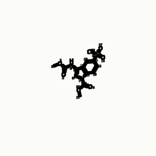 COC(=O)Nc1nn(C(=O)OC)c2ccc(S(=O)(=O)Cl)cc12